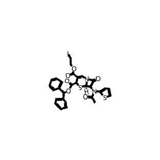 CC(=O)N(c1cccs1)C1C(=O)N2C=C(C(=O)OCCI)C(C(=O)OC(c3ccccc3)c3ccccc3)S[C@H]12